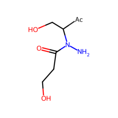 CC(=O)C(CO)N(N)C(=O)CCO